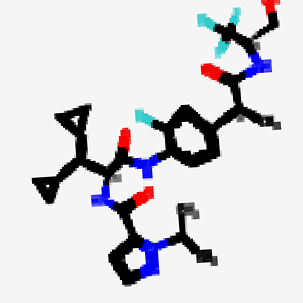 CC(C)n1nccc1C(=O)N[C@H](C(=O)Nc1ccc([C@H](C)C(=O)N[C@@H](CO)C(F)(F)F)cc1F)C(=C1CC1)C1CC1